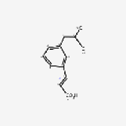 O=C(O)/C=C/c1cccc(CC(Cl)Cl)c1